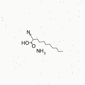 CCCCCCCCCC(C#N)C(=O)O.N